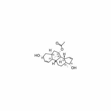 CC(=O)O[C@H]1C[C@@H]2C[C@@H](O)C=C[C@]2(C)[C@H]2CC[C@]3(C)[C@@H](O)C=C[C@H]3[C@H]12